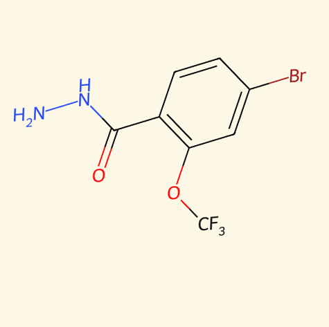 NNC(=O)c1ccc(Br)cc1OC(F)(F)F